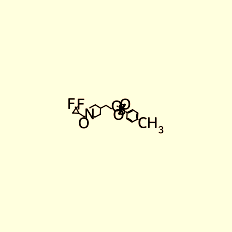 Cc1ccc(S(=O)(=O)OCCC2CCN(C(=O)C3CC3(F)F)CC2)cc1